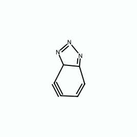 C1#CC2N=NN=C2C=C1